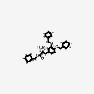 C[C@@](Cc1ccc(OCc2ccccc2)c(OCc2ccccc2)c1)(NN)C(=O)OCc1ccccc1